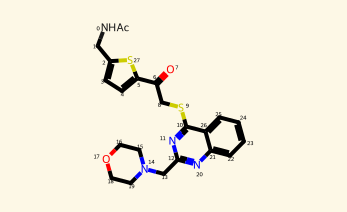 CC(=O)NCc1ccc(C(=O)CSc2nc(CN3CCOCC3)nc3ccccc23)s1